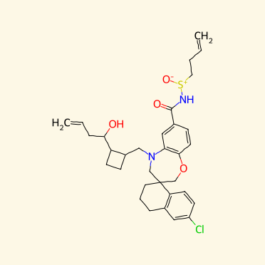 C=CCC[S+]([O-])NC(=O)c1ccc2c(c1)N(CC1CCC1C(O)CC=C)CC1(CCCc3cc(Cl)ccc31)CO2